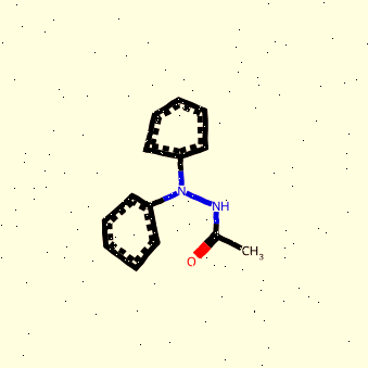 CC(=O)NN(c1ccccc1)c1ccccc1